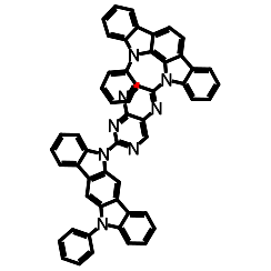 c1ccc(-n2c3ccccc3c3cc4c(cc32)c2ccccc2n4-c2ncc3nc(-n4c5ccccc5c5ccc6c7ccccc7n(-c7ccccc7)c6c54)cnc3n2)cc1